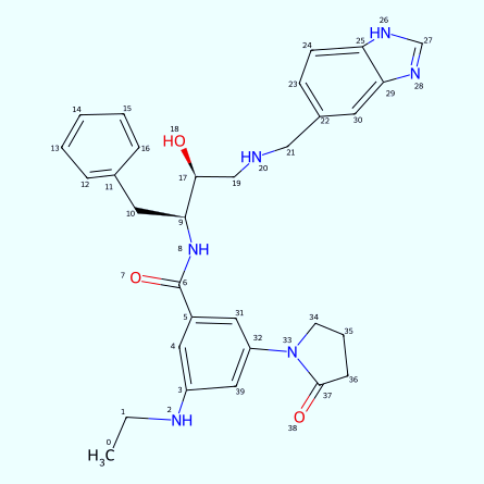 CCNc1cc(C(=O)N[C@@H](Cc2ccccc2)[C@@H](O)CNCc2ccc3[nH]cnc3c2)cc(N2CCCC2=O)c1